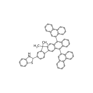 CC1(C)c2cc(C3Nc4ccccc4S3)ccc2-c2cc3c(-c4cc5ccccc5c5ccccc45)c4ccccc4c(-c4cc5ccccc5c5ccccc45)c3cc21